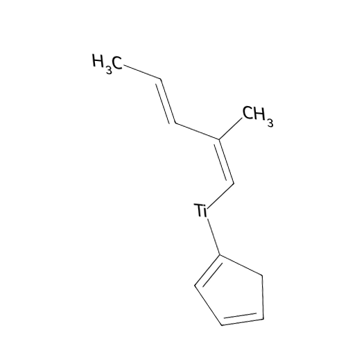 CC=CC(C)=[CH][Ti][C]1=CC=CC1